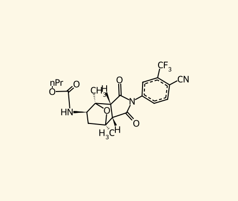 CCCOC(=O)N[C@@H]1C[C@@]2(C)O[C@]1(C)[C@@H]1C(=O)N(c3ccc(C#N)c(C(F)(F)F)c3)C(=O)[C@@H]12